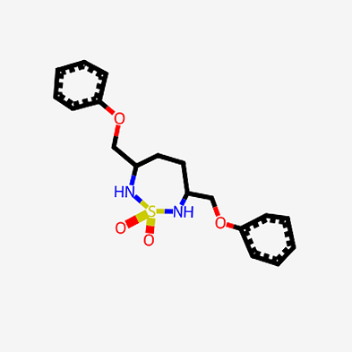 O=S1(=O)NC(COc2ccccc2)CCC(COc2ccccc2)N1